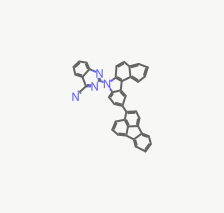 N#Cc1nc(-n2c3ccc(-c4ccc5c6c(cccc46)-c4ccccc4-5)cc3c3c4ccccc4ccc32)nc2ccccc12